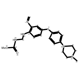 C=Nc1cc(Sc2ccc(N3CCN(C)CC3)cc2)ccc1NCNC(=O)OC